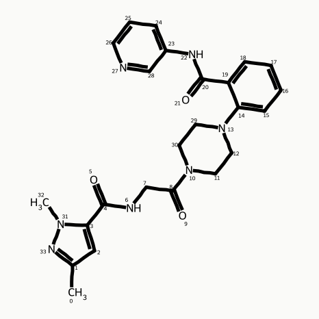 Cc1cc(C(=O)NCC(=O)N2CCN(c3ccccc3C(=O)Nc3cccnc3)CC2)n(C)n1